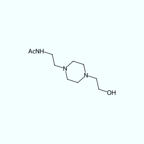 CC(=O)NCCN1CCN(CCO)CC1